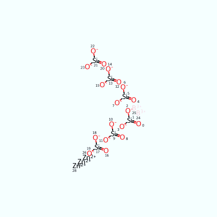 O=[Si]([O-])[O-].O=[Si]([O-])[O-].O=[Si]([O-])[O-].O=[Si]([O-])[O-].O=[Si]([O-])[O-].O=[Si]([O-])[O-].[B+3].[B+3].[Zn+2].[Zn+2].[Zn+2]